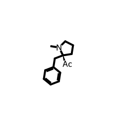 CC(=O)[C@]1(Cc2ccccc2)CCCN1C